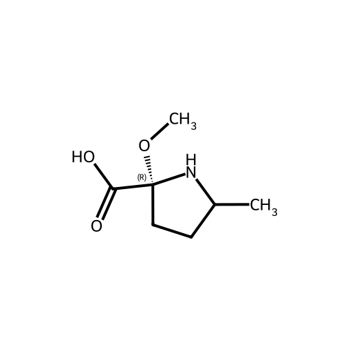 CO[C@@]1(C(=O)O)CCC(C)N1